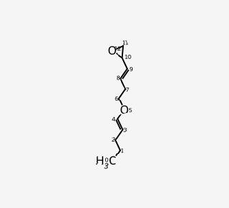 CCCC=COCCC=CC1CO1